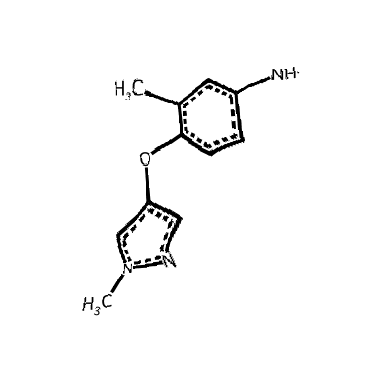 Cc1cc([NH])ccc1Oc1cnn(C)c1